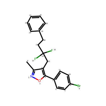 Cc1noc(-c2ccc(Br)cc2)c1CC(F)(F)CCc1ccccc1